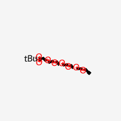 C#CCOCCOCCOCCOCCOCCOCCC(=O)OC(C)(C)C